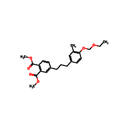 CCOCOc1ccc(CCCc2ccc(C(=O)OC)c(C(=O)OC)c2)cc1C